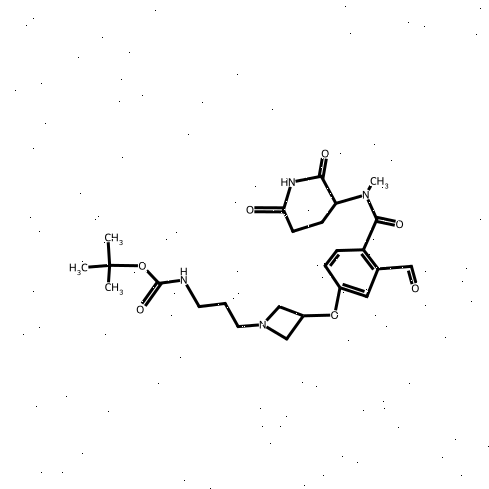 CN(C(=O)c1ccc(OC2CN(CCCNC(=O)OC(C)(C)C)C2)cc1C=O)C1CCC(=O)NC1=O